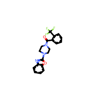 O=C(c1ccccc1C(F)(F)F)N1CCN(c2nc3ccccc3o2)CC1